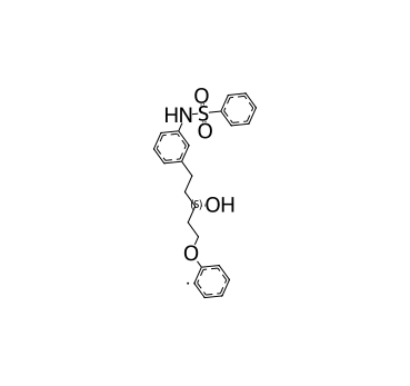 O=S(=O)(Nc1cccc(CC[C@H](O)CCOc2[c]cccc2)c1)c1ccccc1